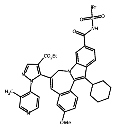 CCOC(=O)c1cnn(-c2ccncc2C)c1C1=Cc2cc(OC)ccc2-c2c(C3CCCCC3)c3ccc(C(=O)NS(=O)(=O)C(C)C)cc3n2C1